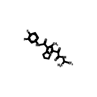 Cc1c(C(=O)Nc2ccc(F)c(F)c2)c2n(c1C(=O)C(=O)NC(C)C(F)(F)F)CCC2